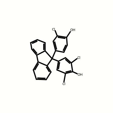 Oc1ccc(C2(c3cc(Cl)c(O)c(Cl)c3)c3ccccc3-c3ccccc32)cc1Cl